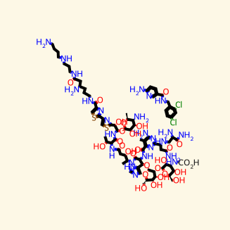 Cc1c(N)nc(C(CC(N)=O)NCC(N)C(N)=O)nc1C(=O)NC(C(=O)NC(C)C(O)CC(=O)NC(C(=O)NC(O[C@@H]1O[C@@H](C)[C@@H](N)[C@@H](O)[C@H]1O)C(O)c1nc(-c2nc(C(=O)NCCCC(N)CC(=O)NCCCNCCCCN)cs2)cs1)C(C)O)C(O[C@H]1O[C@@H](CO)[C@@H](O)[C@H](O)[C@@H]1O[C@H]1O[C@H](CO)[C@H](O)[C@H](NC(=O)O)[C@@H]1O)c1cnc[nH]1.Nc1ccc(C(=O)NCc2ccc(Cl)cc2Cl)cn1